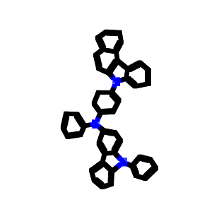 C1=C(N(c2ccccc2)c2ccc3c(c2)c2ccccc2n3-c2ccccc2)CCC(n2c3ccccc3c3c4ccccc4ccc32)=C1